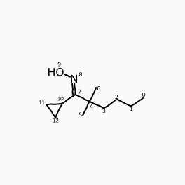 CCCCC(C)(C)/C(=N/O)C1CC1